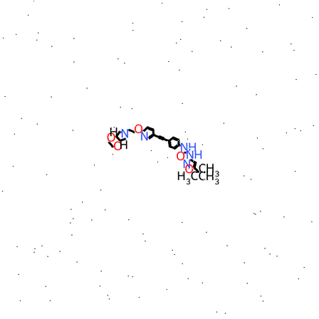 CC(C)(C)c1cc(NC(=O)Nc2ccc(C#Cc3ccc(OCCN4C[C@@H]5OCCO[C@@H]5C4)nc3)cc2)no1